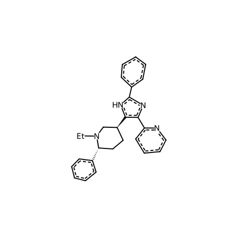 CCN1C[C@@H](c2[nH]c(-c3ccccc3)nc2-c2ccccn2)CC[C@@H]1c1ccccc1